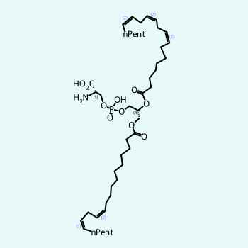 CCCCC/C=C\C/C=C\C/C=C\CCCCCCC(=O)O[C@H](COC(=O)CCCCCCCCC/C=C\C/C=C\CCCCC)COP(=O)(O)OC[C@H](N)C(=O)O